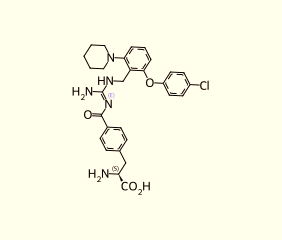 N/C(=N\C(=O)c1ccc(C[C@H](N)C(=O)O)cc1)NCc1c(Oc2ccc(Cl)cc2)cccc1N1CCCCC1